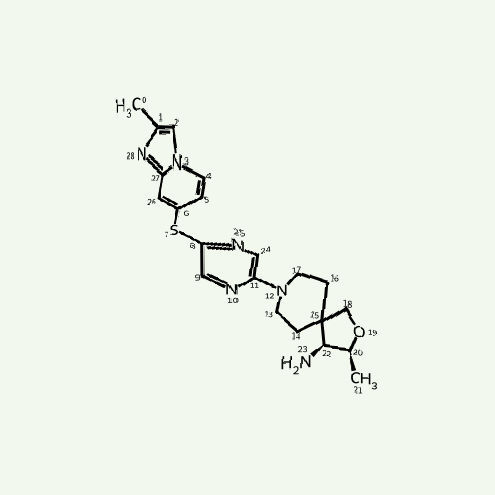 Cc1cn2ccc(Sc3cnc(N4CCC5(CC4)CO[C@@H](C)[C@H]5N)cn3)cc2n1